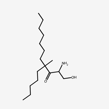 CCCCCCCC(C)(CCCCC)C(=O)C(N)CO